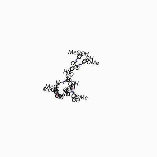 COc1cc(/C=C/C(=O)C(C(=O)/C=C/c2ccc(O)c(OC)c2)c2ccc(NC(=O)OCC[C@@H]3/C=C(\C)C[C@H](C)C[C@H](OC)[C@H]4O[C@@](O)(C(=O)C(=O)N5CCCC6/C(=C\[C@@H]7CC[C@@H](O)[C@H](OC)C7)[C@@H](OC(=O)[C@H]65)[C@H](C)[C@@H](O)CC3=O)[C@H](C)C[C@@H]4OC)cc2)ccc1O